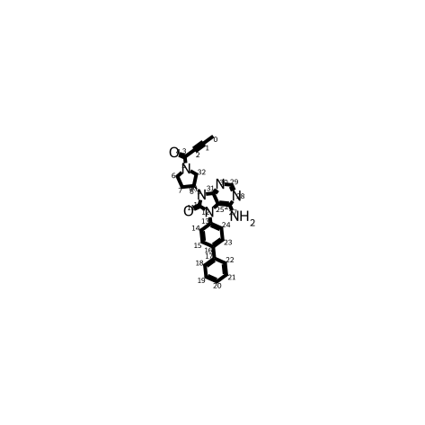 CC#CC(=O)N1CC[C@@H](n2c(=O)n(-c3ccc(-c4ccccc4)cc3)c3c(N)ncnc32)C1